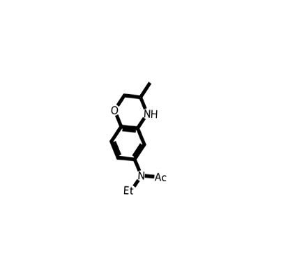 CCN(C(C)=O)c1ccc2c(c1)NC(C)CO2